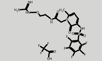 Cc1ccc(NS(=O)(=O)c2c(F)c(F)c(F)c(F)c2F)c(=O)n1CC(=O)NCCONC(=N)N.O=C(O)C(F)(F)F